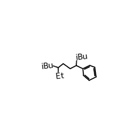 CCC(C)C(CC)CCC(c1ccccc1)C(C)CC